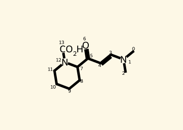 CN(C)/C=C/C(=O)C1CCCCN1C(=O)O